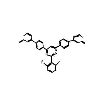 C=C/C=C(\C=C/C)c1ccc(-c2cc(-c3ccc(C(/C=C\C)=C/C=C)cc3)nc(-c3c(F)cccc3F)n2)cc1